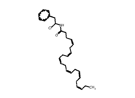 CC/C=C\C/C=C\C/C=C\C/C=C\C/C=C\C/C=C\CCC(=O)NC(Cl)Cc1ccccc1